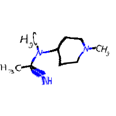 CC(=N)N(C)C1CCN(C)CC1